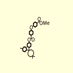 COC(=O)c1ccc(Oc2ccc(C(=O)Oc3ccc(C4(c5ccc(C)cc5)CCCC(C)(C)CCC4)cc3)cc2)cc1